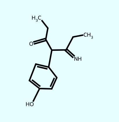 CCC(=N)C(C(=O)CC)c1ccc(O)cc1